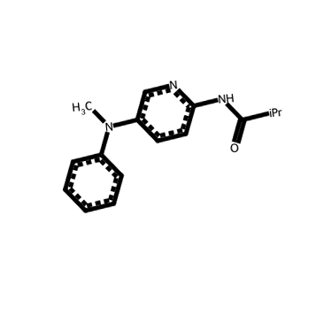 CC(C)C(=O)Nc1ccc(N(C)c2ccccc2)cn1